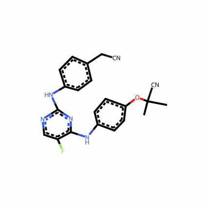 CC(C)(C#N)Oc1ccc(Nc2nc(Nc3ccc(CC#N)cc3)ncc2F)cc1